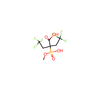 COP(=O)(O)C(CC(F)(F)F)(CC(F)(F)F)C(=O)O